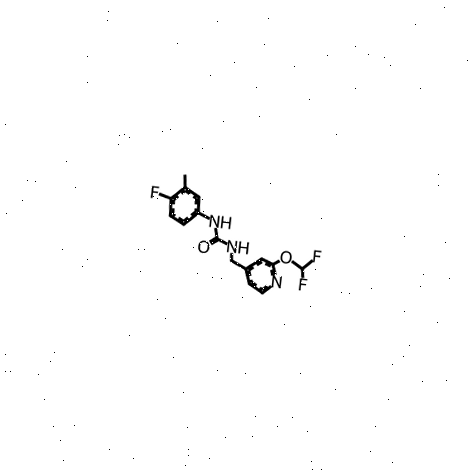 Cc1cc(NC(=O)NCc2ccnc(OC(F)F)c2)ccc1F